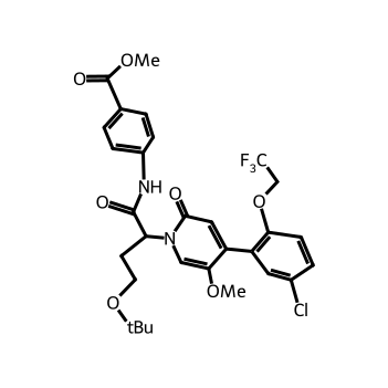 COC(=O)c1ccc(NC(=O)C(CCOC(C)(C)C)n2cc(OC)c(-c3cc(Cl)ccc3OCC(F)(F)F)cc2=O)cc1